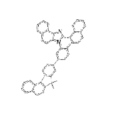 CC1(C)c2cc(-c3ccc4c5ccc6ccccc6c5c5nc6c7ccccc7ccc6n5c4c3)ccc2-c2c1ccc1ccccc21